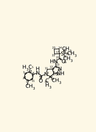 Cc1ccc(C)c(NC(=O)N2Cc3c(NC(=O)C4([Si](C)(C)C)CCC4)n[nH]c3C2(C)C)c1